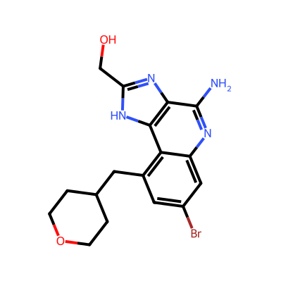 Nc1nc2cc(Br)cc(CC3CCOCC3)c2c2[nH]c(CO)nc12